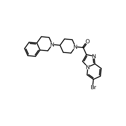 O=C(c1cn2cc(Br)ccc2n1)N1CCC(N2CCc3ccccc3C2)CC1